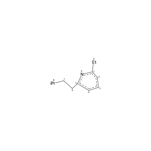 CCc1cccc(CCC(C)C)n1